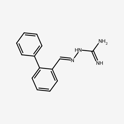 N=C(N)NN=Cc1ccccc1-c1ccccc1